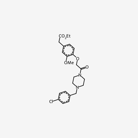 CCOC(=O)Cc1ccc(OCC(=O)N2CCN(Cc3ccc(Cl)cc3)CC2)c(OC)c1